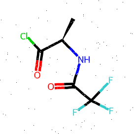 C[C@@H](NC(=O)C(F)(F)F)C(=O)Cl